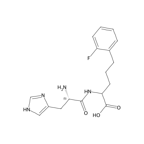 N[C@@H](Cc1c[nH]cn1)C(=O)NC(CCCc1ccccc1F)C(=O)O